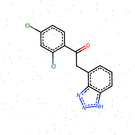 O=C(Cc1cccc2[nH]nnc12)c1ccc(Cl)cc1Cl